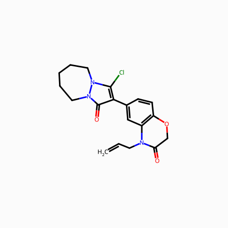 C=CCN1C(=O)COc2ccc(-c3c(Cl)n4n(c3=O)CCCCC4)cc21